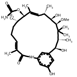 CO[C@@H]1[C@H](O)[C@@H](C)/C=C(\C)[C@H](OC(N)=O)[C@@H](C)CC/C=C(\C)C(=O)Nc2cc(O)cc(c2)[C@H](O)[C@@H](C)C1(C)C